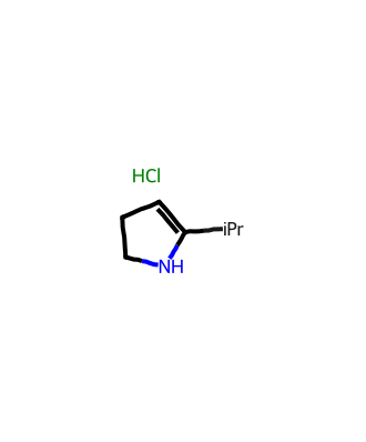 CC(C)C1=CCCN1.Cl